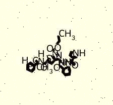 CCCCOC(=O)n1nc(NC(=O)c2ccccc2NC(=O)c2cc[nH]c2)c2cc(C(=O)NC(C)(C)c3ccccc3)sc21